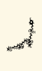 CC(C)(C)OC(=O)NCCCC[C@H](NC(=O)CCCC(=O)N[C@@H](CCCCNC(=O)CCCc1ccc(I)cc1)C(=O)OC(C)(C)C)C(=O)O